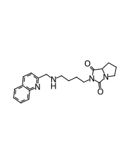 O=C1C2CCCN2C(=O)N1CCCCNCc1ccc2ccccc2n1